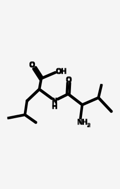 CC(C)CC(NC(=O)C(N)C(C)C)C(=O)O